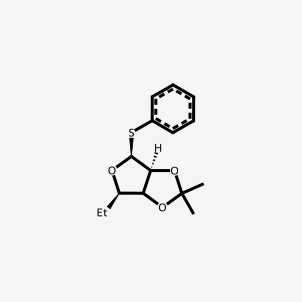 CC[C@H]1O[C@@H](Sc2ccccc2)[C@H]2OC(C)(C)OC12